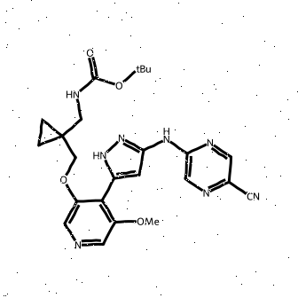 COc1cncc(OCC2(CNC(=O)OC(C)(C)C)CC2)c1-c1cc(Nc2cnc(C#N)cn2)n[nH]1